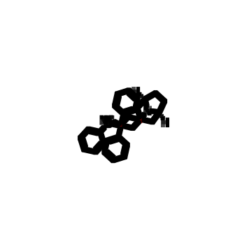 N#CC(CC1C[C@H]2CC[C@@H](C1)N2CCCOc1ccccc1)(c1ccccc1)c1ccccc1